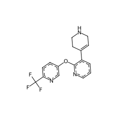 FC(F)(F)c1ccc(Oc2ncccc2C2=CCNCC2)cn1